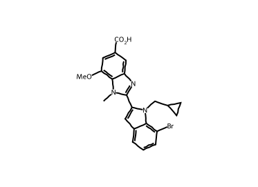 COc1cc(C(=O)O)cc2nc(-c3cc4cccc(Br)c4n3CC3CC3)n(C)c12